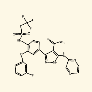 NC(=O)c1c(-c2ccc(NS(=O)(=O)CC(F)(F)F)c(Oc3cccc(F)c3)c2)n[nH]c1Nc1cnccn1